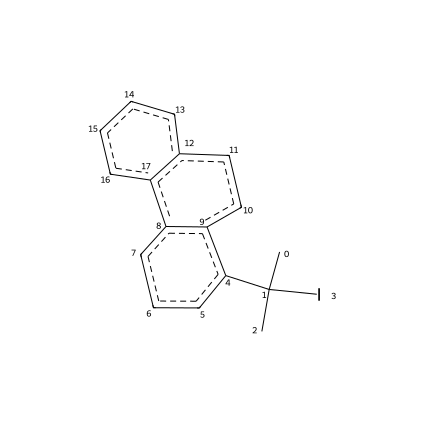 CC(C)(I)c1cccc2c1ccc1ccccc12